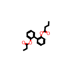 CCCC(=O)Oc1[c]cccc1-c1ccccc1OC(=O)CC